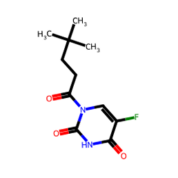 CC(C)(C)CCC(=O)n1cc(F)c(=O)[nH]c1=O